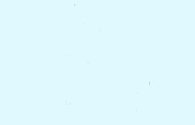 O=C1C(Br)=C(c2cccc(F)c2)c2ccc(O)cc21